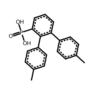 Cc1ccc(-c2cccc(P(=O)(O)O)c2-c2ccc(C)cc2)cc1